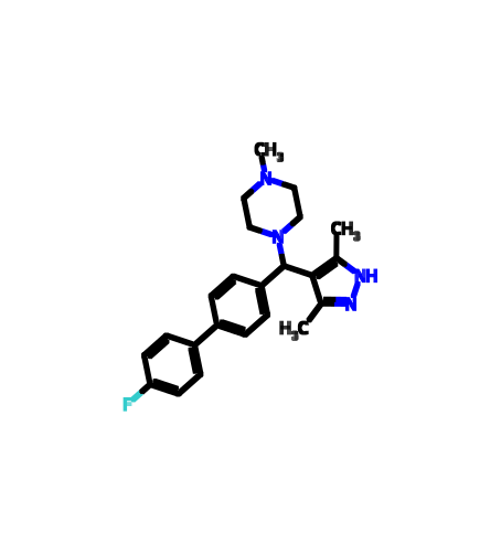 Cc1n[nH]c(C)c1C(c1ccc(-c2ccc(F)cc2)cc1)N1CCN(C)CC1